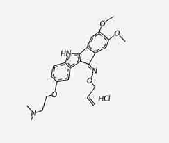 C=CCON=C1c2cc(OC)c(OC)cc2-c2[nH]c3ccc(OCCN(C)C)cc3c21.Cl